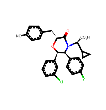 N#Cc1ccc(C[C@H]2O[C@H](c3cccc(Cl)c3)[C@H](c3ccc(Cl)cc3)N([C@@H](C(=O)O)C3CC3)C2=O)cc1